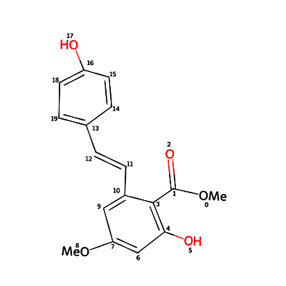 COC(=O)c1c(O)cc(OC)cc1C=Cc1ccc(O)cc1